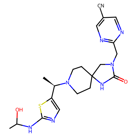 CC(O)Nc1ncc([C@@H](C)N2CCC3(CC2)CN(Cc2ncc(C#N)cn2)C(=O)N3)s1